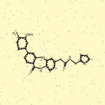 COc1cc(-c2ccc3c(c2)Nc2cc(CC(=O)NCc4cccs4)ccc2NC3=O)ccc1[N+](=O)[O-]